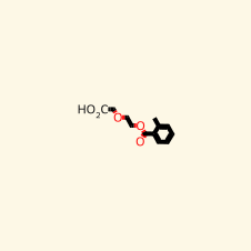 Cc1ccccc1C(=O)OCCOCC(=O)O